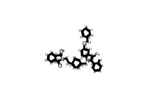 Cc1ccccc1-c1c(F)c2cc(OCc3ccccc3)ccc2n1Cc1ccc(CCN2C(=O)c3ccccc3C2=O)cc1